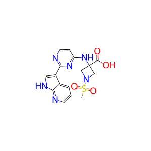 CS(=O)(=O)N1CC(Nc2ccnc(-c3c[nH]c4ncccc34)n2)(C(=O)O)C1